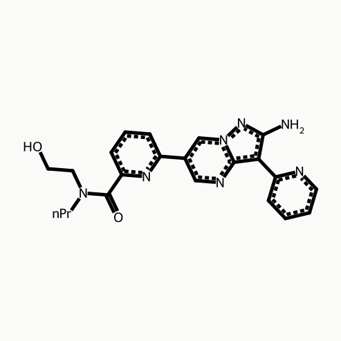 CCCN(CCO)C(=O)c1cccc(-c2cnc3c(-c4ccccn4)c(N)nn3c2)n1